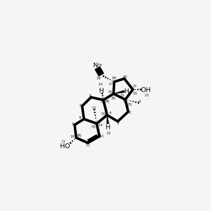 C[C@]12CC[C@H]3[C@@H](CCC4C[C@@H](O)C=C[C@@]43C)[C@@H]1[C@H](C#N)C[C@@H]2O